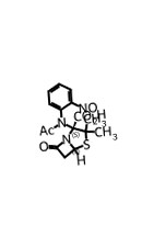 CC(=O)N(c1ccccc1N=O)[C@@]1(C(=O)O)N2C(=O)C[C@H]2SC1(C)C